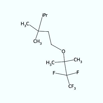 CC(C)C(C)(C)CCOC(C)(C)C(F)(F)C(F)(F)F